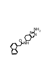 Nc1ncc2c(n1)CCC(NC(=O)Cc1cccc3ccccc13)C2